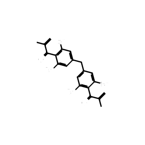 C=C(C)C(=O)c1c(Br)cc(Cc2cc(Br)c(C(=O)C(=C)C)c(Br)c2)cc1Br